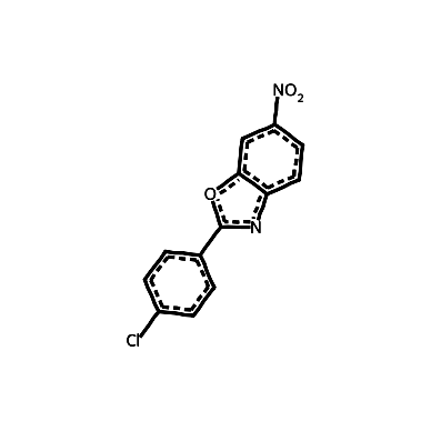 O=[N+]([O-])c1ccc2nc(-c3ccc(Cl)cc3)oc2c1